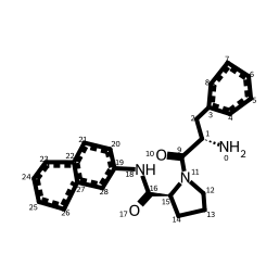 N[C@@H](Cc1ccccc1)C(=O)N1CCC[C@H]1C(=O)Nc1ccc2ccccc2c1